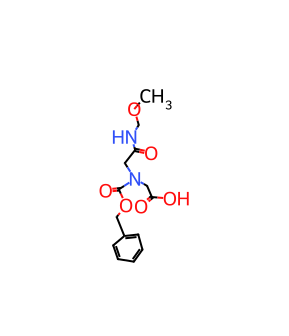 COCNC(=O)CN(CC(=O)O)C(=O)OCc1ccccc1